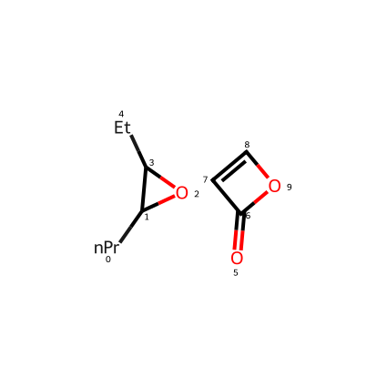 CCCC1OC1CC.O=C1C=CO1